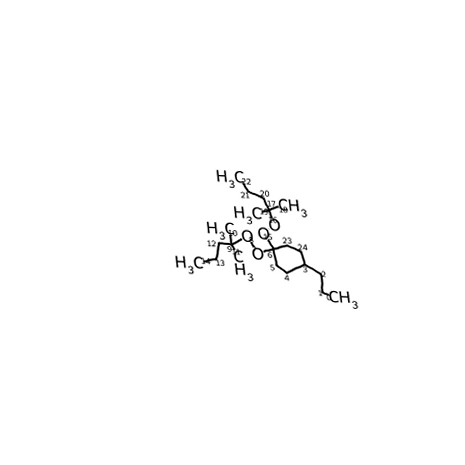 CCCC1CCC(OOC(C)(C)CCC)(OOC(C)(C)CCC)CC1